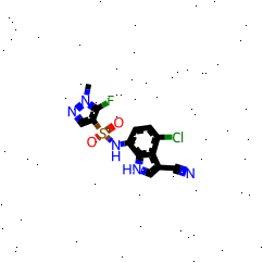 Cn1ncc(S(=O)(=O)Nc2ccc(Cl)c3c(C#N)c[nH]c23)c1F